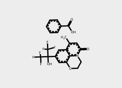 Cc1cc(=O)n2c3c(cc(C(O)(C(F)(F)F)C(F)(F)F)cc13)OCC2.O=C(O)c1ccccc1